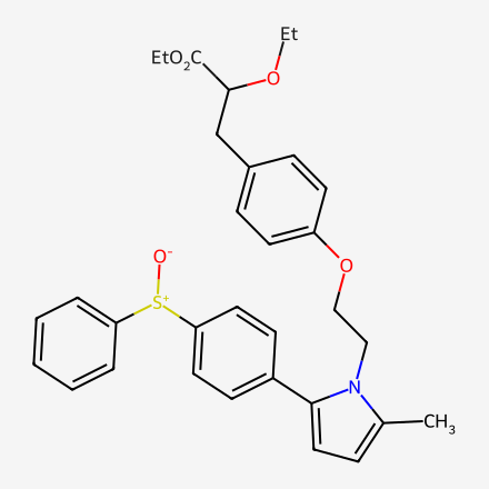 CCOC(=O)C(Cc1ccc(OCCn2c(C)ccc2-c2ccc([S+]([O-])c3ccccc3)cc2)cc1)OCC